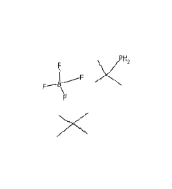 CC(C)(C)C.CC(C)(C)P.F[B-](F)(F)F